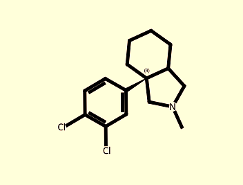 CN1CC2CCCC[C@@]2(c2ccc(Cl)c(Cl)c2)C1